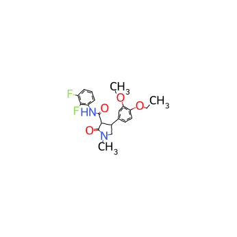 CCOc1ccc(C2CN(C)C(=O)C2C(=O)Nc2cccc(F)c2F)cc1OCC